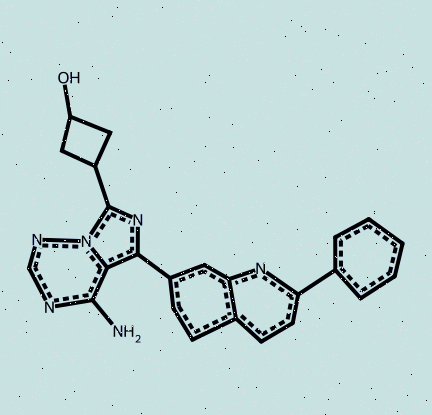 Nc1ncnn2c(C3CC(O)C3)nc(-c3ccc4ccc(-c5ccccc5)nc4c3)c12